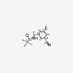 CC(N[S+]([O-])C(C)(C)C)c1cc(F)cc(C#N)c1